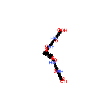 Cc1cc(OCC(=O)NCCCCCC(=O)NCCCCCC(=O)O)cc(-c2ccc(OCC(=O)NCCCCCC(=O)NCCCCCC(=O)O)cc2)c1